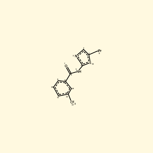 CC(C)c1cnc(NC(=O)c2cccc(C(F)(F)F)c2)s1